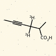 [2H]C([2H])(C#CC)C(C)C(=O)O